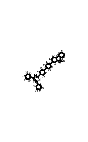 CC1(C)c2ccccc2-c2ccc(-c3ccc(-c4ccc(-c5nc(-c6ccccc6)nc(-c6ccccc6)n5)cc4)cc3)cc21